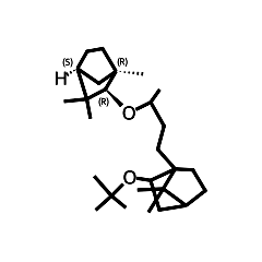 CC(CCC12CCC(CC1OC(C)(C)C)C2(C)C)O[C@H]1C(C)(C)[C@H]2CC[C@]1(C)C2